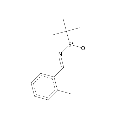 Cc1ccccc1/C=N/[S+]([O-])C(C)(C)C